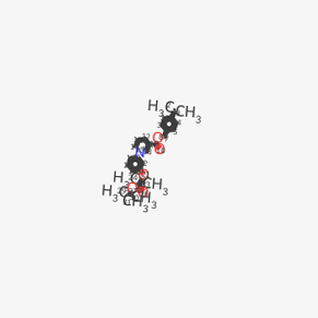 CC(C)c1ccc(COC(=O)[C@@H]2CCCN(c3cccc(OC(C)(C)C(=O)OC(C)(C)C)c3)C2)cc1